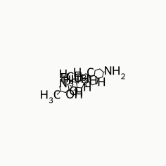 C[C@H]1CN[C@@H]2[C@@H](C)[C@H]3[C@@H](C[C@H]4[C@@H]5CC[C@H]6C[C@@H](N)CC[C@]6(C)[C@H]5CC[C@]34C)O[C@@]2(O)C1